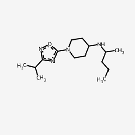 CCCC(C)NC1CCN(c2nc(C(C)C)no2)CC1